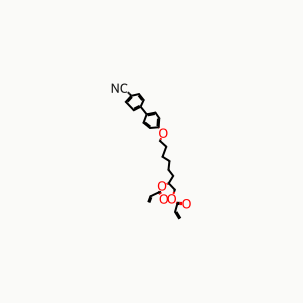 C=CC(=O)OCC(CCCCCCOc1ccc(-c2ccc(C#N)cc2)cc1)OC(=O)C=C